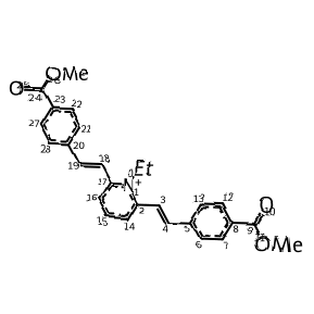 CC[n+]1c(/C=C/c2ccc(C(=O)OC)cc2)cccc1/C=C/c1ccc(C(=O)OC)cc1